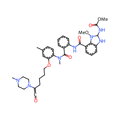 COC(=O)NC1Nc2cccc(C(=O)Nc3ccccc3C(=O)N(C)c3ccc(C)cc3OCCCCC(=C=O)N3CCN(C)CC3)c2N1OC